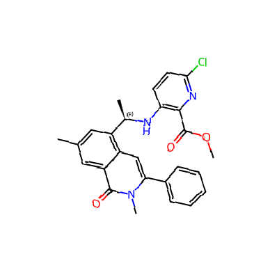 COC(=O)c1nc(Cl)ccc1N[C@H](C)c1cc(C)cc2c(=O)n(C)c(-c3ccccc3)cc12